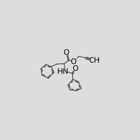 C#CCOC(=O)C(Cc1ccccc1)NC(=O)c1ccccc1